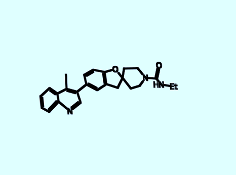 CCNC(=O)N1CCC2(CC1)Cc1cc(-c3cnc4ccccc4c3C)ccc1O2